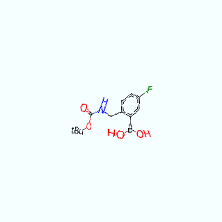 CC(C)(C)OC(=O)NCc1ccc(F)cc1B(O)O